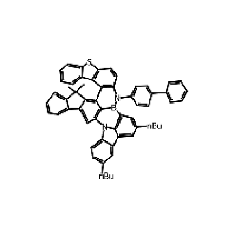 CCCCc1ccc2c(c1)c1cc(CCCC)cc3c1n2-c1cc2c(c4c1B3N(c1ccc(-c3ccccc3)cc1)c1ccc3sc5ccccc5c3c1-4)C(C)(C)c1ccccc1-2